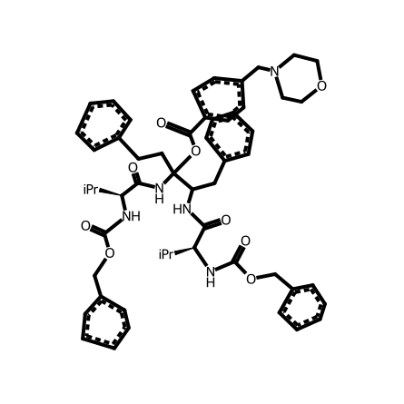 CC(C)[C@H](NC(=O)OCc1ccccc1)C(=O)NC(Cc1ccccc1)C(CCc1ccccc1)(NC(=O)[C@@H](NC(=O)OCc1ccccc1)C(C)C)OC(=O)c1ccc(CN2CCOCC2)cc1